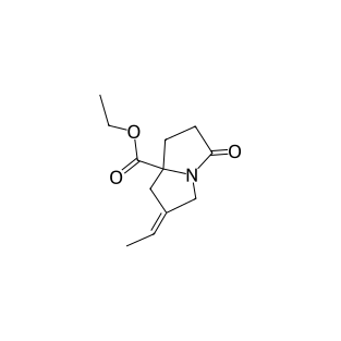 CC=C1CN2C(=O)CCC2(C(=O)OCC)C1